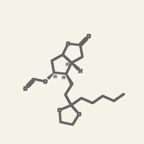 CCCCCC1(CC[C@H]2[C@H](OC=O)CC3OC(=O)C[C@@H]32)OCCO1